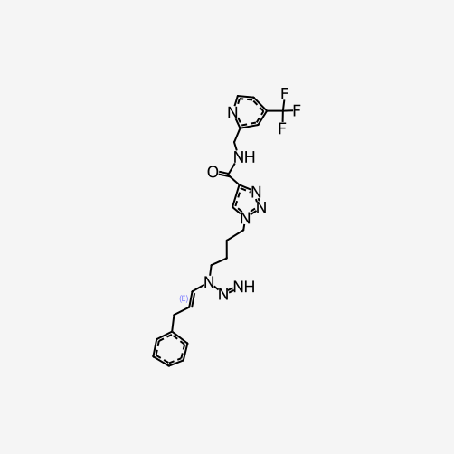 N=NN(/C=C/Cc1ccccc1)CCCCn1cc(C(=O)NCc2cc(C(F)(F)F)ccn2)nn1